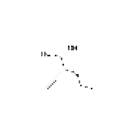 C#CC(OCC)C(O)O